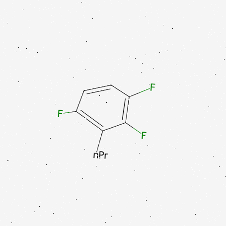 [CH2]CCc1c(F)ccc(F)c1F